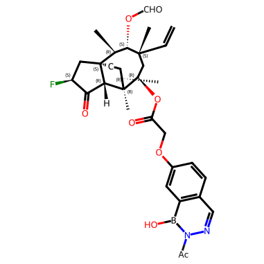 C=C[C@]1(C)C[C@@H](OC(=O)COc2ccc3c(c2)B(O)N(C(C)=O)N=C3)[C@]2(C)[C@H](C)CC[C@]3(C[C@H](F)C(=O)[C@H]32)[C@@H](C)[C@@H]1OC=O